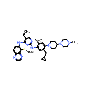 C=Cc1cnc(Nc2cc(CC3CC3)c(N3CCC(N4CCN(C)CC4)CC3)cc2OC)nc1Nc1ccc2nccnc2c1SNC